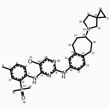 Cc1ccc(Nc2nc(Nc3ccc4c(c3)CC[C@@H](N3CCC5(CC5)C3)CC4)ncc2Cl)c(P(C)(C)=O)c1